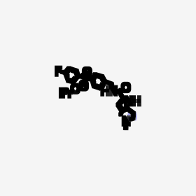 C=N/C=C\c1[nH]c(C(=O)NCc2ccc(S(=O)(=O)c3ccc(F)cc3OC(C)C)cc2)cc1C